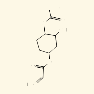 C=CC(=O)OC1CCC(OC(=O)C(C)CCC)C(O)C1